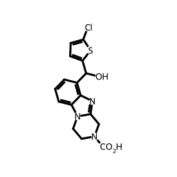 O=C(O)N1CCn2c(nc3c(C(O)c4ccc(Cl)s4)cccc32)C1